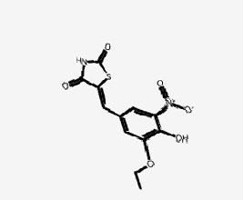 CCOc1cc(/C=C2\SC(=O)NC2=O)cc([N+](=O)[O-])c1O